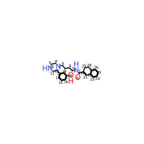 O=C(NCCCCN1CCNCC1c1cccc(O)c1)C1=Cc2ccccc2CC1